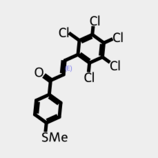 CSc1ccc(C(=O)/C=C/c2c(Cl)c(Cl)c(Cl)c(Cl)c2Cl)cc1